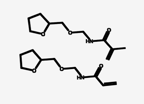 C=C(C)C(=O)NCOCC1CCCO1.C=CC(=O)NCOCC1CCCO1